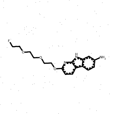 Nc1ccc2c(c1)[nH]c1nc(OCCOCCOCCF)ccc12